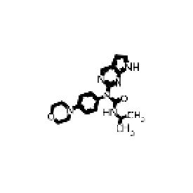 CC(C)NC(=O)N(c1ccc(N2CCOCC2)cc1)c1ncc2cc[nH]c2n1